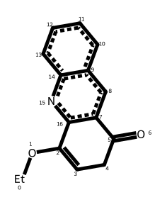 CCOC1=CCC(=O)c2cc3ccccc3nc21